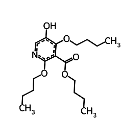 CCCCOC(=O)c1c(OCCCC)ncc(O)c1OCCCC